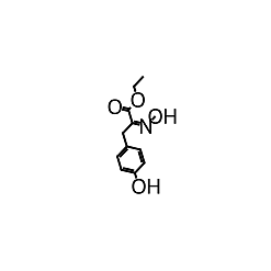 CCOC(=O)C(Cc1ccc(O)cc1)=NO